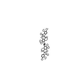 COc1ccc2c(c1OC)C(=O)O[C@@H]2[C@H]1c2c(c(N=Nc3c4c(c(OC)c5c3OCO5)[C@H]([C@H]3OC(=O)c5c3ccc(OC)c5OC)N(C)CC4)c3c(c2OC)OCO3)CCN1C